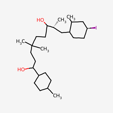 CC1CCC(C(O)CCC(C)(C)CCC(O)[C@H](C)CC2CC[C@H](I)CC2C)CC1